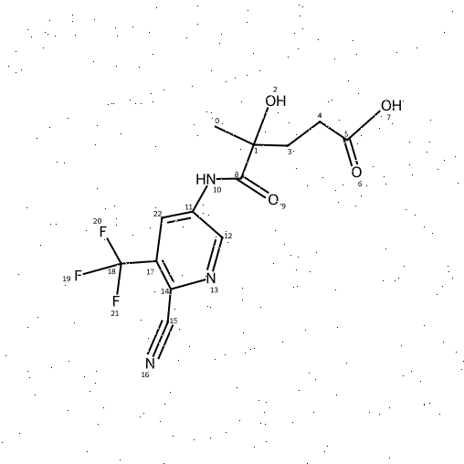 CC(O)(CCC(=O)O)C(=O)Nc1cnc(C#N)c(C(F)(F)F)c1